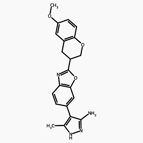 COc1ccc2c(c1)CC(c1nc3ccc(-c4c(N)n[nH]c4C)cc3o1)CO2